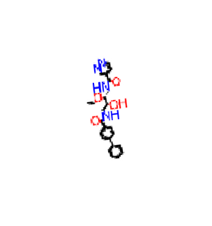 CCO[C@H](CNC(=O)c1ccnnc1)[C@@H](O)CNC(=O)c1ccc(-c2ccccc2)cc1